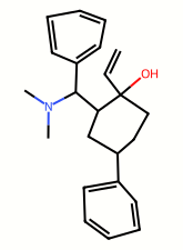 C=CC1(O)CCC(c2ccccc2)CC1C(c1ccccc1)N(C)C